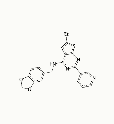 CCc1cc2c(NCc3ccc4c(c3)OCO4)nc(-c3cccnc3)nc2s1